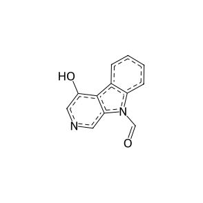 O=Cn1c2ccccc2c2c(O)cncc21